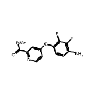 CNC(=O)c1cc(Oc2ccc(N)c(F)c2F)ccn1